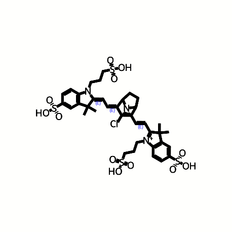 CN1C2CCC1/C(=C\C=C1\N(CCCS(=O)(=O)O)c3ccc(S(=O)(=O)O)cc3C1(C)C)C(Cl)=C2/C=C/C1=[N+](CCCS(=O)(=O)O)c2ccc(S(=O)(=O)O)cc2C1(C)C